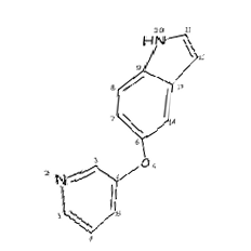 c1cncc(Oc2ccc3[nH]ccc3c2)c1